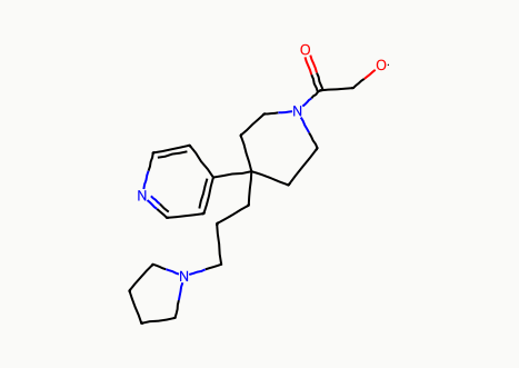 [O]CC(=O)N1CCC(CCCN2CCCC2)(c2ccncc2)CC1